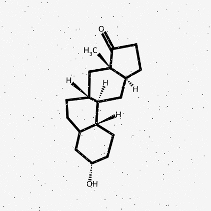 C[C@]12C[C@H]3CCC4C[C@@H](O)CC[C@H]4[C@@H]3C[C@@H]1CCC2=O